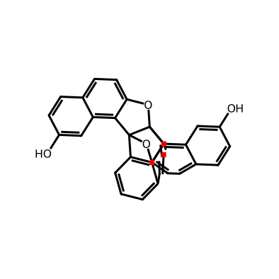 Oc1ccc2ccc3c(c2c1)C12Oc4ccc5ccc(O)cc5c4C1(O3)c1cccc3cccc2c13